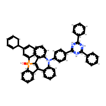 O=P1(C2=CC(C3C=CC=CC3)=CCC2)C2=C(c3ccccc3N(c3ccc(-c4nc(-c5ccccc5)nc(-c5ccccc5)n4)cc3)c3ccccc32)c2ccccc21